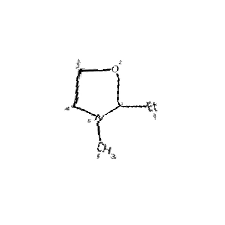 CCC1OCCN1C